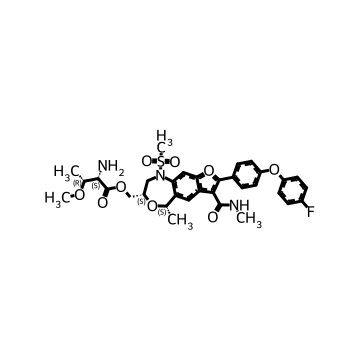 CNC(=O)c1c(-c2ccc(Oc3ccc(F)cc3)cc2)oc2cc3c(cc12)[C@H](C)O[C@H](COC(=O)[C@@H](N)[C@@H](C)OC)CN3S(C)(=O)=O